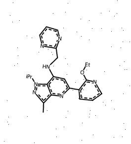 CCOc1ncccc1-c1cc(NCc2ncccn2)c2c(n1)c(C)nn2C(C)C